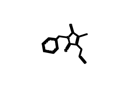 C=CCC1=C(C)C(=O)N(Cc2ccccc2)C1=O